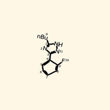 CCCCc1nc(-c2ccccc2F)n[nH]1